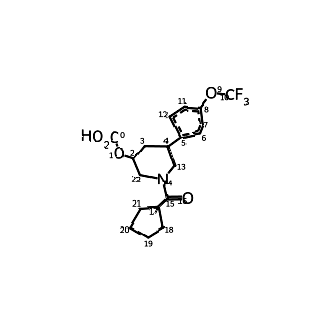 O=C(O)OC1CC(c2ccc(OC(F)(F)F)cc2)CN(C(=O)C2CCCC2)C1